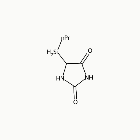 CCC[SiH2]C1NC(=O)NC1=O